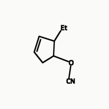 CCC1C=CCC1OC#N